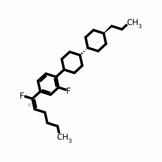 CCCC/C=C(/F)c1ccc(C2CCC([C@H]3CC[C@H](CCC)CC3)CC2)c(F)c1